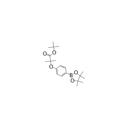 CC(C)(C)OC(=O)C(C)(C)Oc1ccc(B2OC(C)(C)C(C)(C)O2)cc1